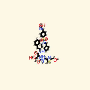 COCc1nc(CN(C)C(=O)N[C@@H](C(=O)N[C@H](CCN(CC2CCCC2)S(=O)(=O)c2ccc(/C=N/O)cc2)Cc2ccccc2)[C@H](C)O)cs1